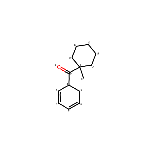 CC1(C(=O)C2C=CC=CC2)CCCCC1